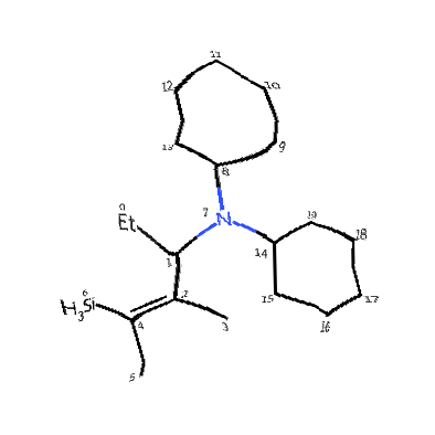 CCC(C(C)=C(C)[SiH3])N(C1CCCCC1)C1CCCCC1